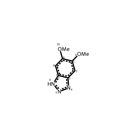 COc1cc2nn[nH]c2cc1OC